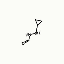 O=CNNC1CC1